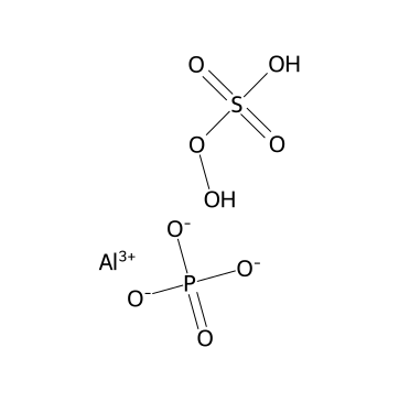 O=P([O-])([O-])[O-].O=S(=O)(O)OO.[Al+3]